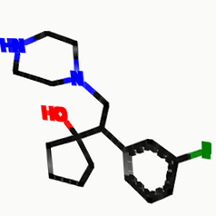 OC1(C(CN2CCNCC2)c2cccc(Br)c2)CCCC1